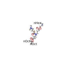 CCCCCC/C=C\COC(=O)CCCN(CCCC(=O)OC(CCCCCCCC)CCCCCCCC)C(=O)SCCN(C)C